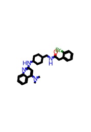 CN(C)c1cc(NC2CCC(CNC(=O)Cc3ccccc3Br)CC2)nc2ccccc12